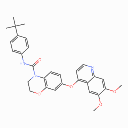 COc1cc2nccc(Oc3ccc4c(c3)OCCN4C(=O)Nc3ccc(C(C)(C)C)cc3)c2cc1OC